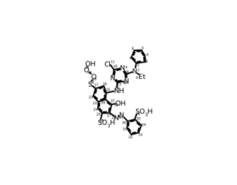 CCN(c1ccccc1)c1nc(Cl)nc(Nc2cc(SOOO)cc3cc(S(=O)(=O)O)c(/N=N/c4ccccc4S(=O)(=O)O)c(O)c23)n1